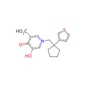 O=C(O)c1cn(CC2(c3ccsc3)CCCC2)cc(O)c1=O